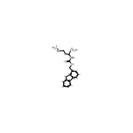 C[Se]CCC(NC(=O)OCc1cccc2c1Cc1ccccc1-2)C(=O)O